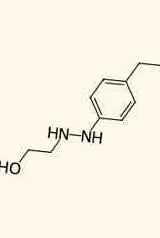 CCc1ccc(NNCCO)cc1